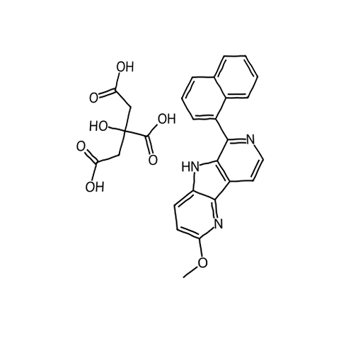 COc1ccc2[nH]c3c(-c4cccc5ccccc45)nccc3c2n1.O=C(O)CC(O)(CC(=O)O)C(=O)O